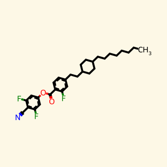 CCCCCCCCC1CCC(CCc2ccc(C(=O)Oc3cc(F)c(C#N)c(F)c3)c(F)c2)CC1